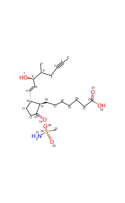 CC#CCC(C)[C@H](O)/C=C/[C@H]1CCC(=O)[C@@H]1CCCCCCC(=O)O.CS(N)(=O)=O